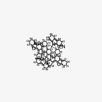 CC(C)(c1c(-c2cccc(C#N)c2)c(-n2c3ccccc3c3c4oc5ccccc5c4ccc32)c(C(C)(C)n2c3ccccc3c3ccccc32)c(-n2c3ccccc3c3c4oc5ccccc5c4ccc32)c1-c1cccc(C#N)c1)n1c2ccccc2c2ccccc21